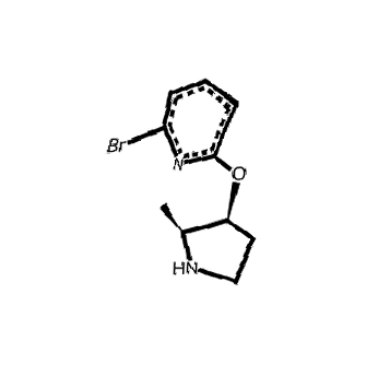 C[C@@H]1NCC[C@@H]1Oc1cccc(Br)n1